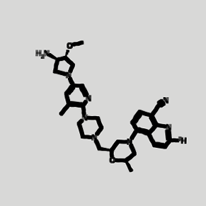 [2H]c1ccc2c(N3C[C@H](CN4CCN(c5ncc(N6C[C@@H](N)[C@H](OC)C6)cc5C)CC4)O[C@H](C)C3)ccc(C#N)c2n1